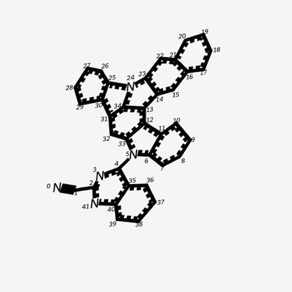 N#Cc1nc(-n2c3ccccc3c3c4c5cc6ccccc6cc5n5c6ccccc6c(cc32)c45)c2ccccc2n1